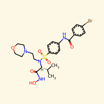 CC(C)[C@H](C(=O)NO)N(CCN1CCOCC1)S(=O)(=O)c1ccc(NC(=O)c2ccc(Br)cc2)cc1